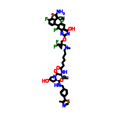 Cc1ncsc1-c1ccc(CNC(=O)[C@@H]2C[C@@H](O)CN2C(=O)[C@@H](NC(=O)CCCCCCN(C)C[C@@]2(COc3nc(O)c4cc(Cl)c(-c5ccc(F)c6sc(N)c(C#N)c56)c(F)c4n3)CC2(F)F)C(C)(C)C)cc1